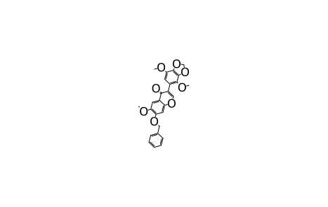 COc1cc2c(=O)c(-c3cc(OC)c4c(c3OC)OCO4)coc2cc1OCc1ccccc1